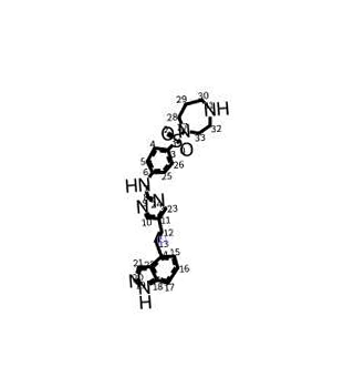 O=S(=O)(c1ccc(Nc2ncc(/C=C/c3cccc4[nH]ncc34)cn2)cc1)N1CCCNCC1